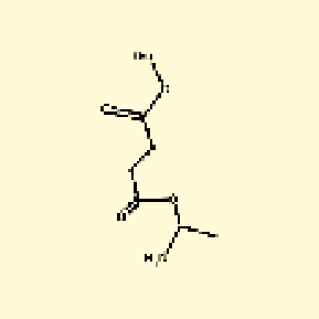 CC(N)OC(=O)CCC(=O)OC(C)(C)C